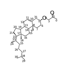 CC(=O)CO[C@H]1CC[C@@]2(C)C(=CCC3C2CC[C@@]2(C)C3CC[C@@H]2[C@H](C)CCCC(C)C)C1